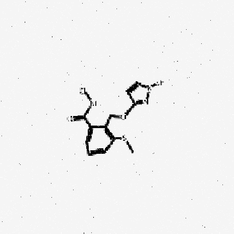 CSc1cccc(C(=O)NCl)c1COc1ccn(S)n1